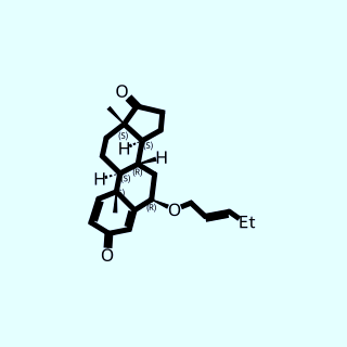 CCC=CCO[C@@H]1C[C@@H]2[C@H](CC[C@]3(C)C(=O)CC[C@@H]23)[C@@]2(C)C=CC(=O)C=C12